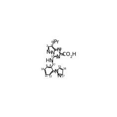 CC(C)c1cnn2c(NCc3ccccc3-n3cccn3)nc(C(=O)O)nc12